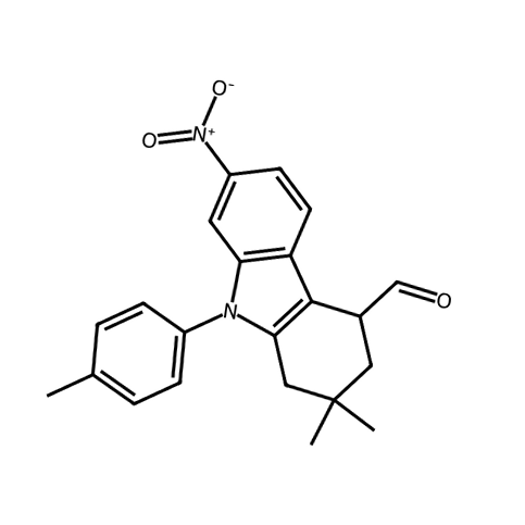 Cc1ccc(-n2c3c(c4ccc([N+](=O)[O-])cc42)C(C=O)CC(C)(C)C3)cc1